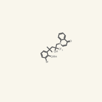 COc1c(Br)cccc1C(C)(C)CC(O)(Cn1ccc(=O)c2ccccc21)C(F)(F)F